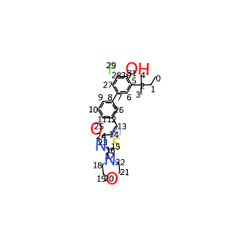 CCC(C)(C)c1cc(-c2cccc(/C=C3/SC(N4CCOCC4)=NC3=O)c2)cc(F)c1O